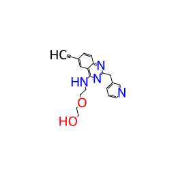 C#Cc1ccc2nc(Cc3cccnc3)nc(NCCOCCO)c2c1